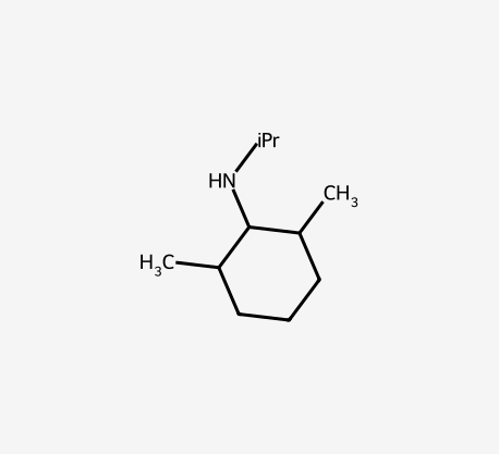 CC(C)NC1C(C)CCCC1C